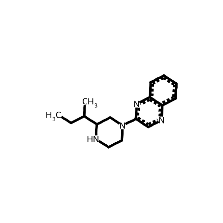 CCC(C)C1CN(c2cnc3ccccc3n2)CCN1